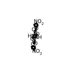 O=C(OC[C@@H]1NC(=O)[C@H](COC(=O)Oc2ccc([N+](=O)[O-])cc2)NC1=O)Oc1ccc([N+](=O)[O-])cc1